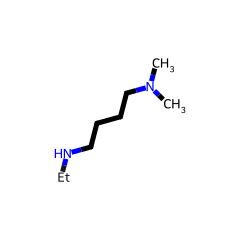 CCNCCCCN(C)C